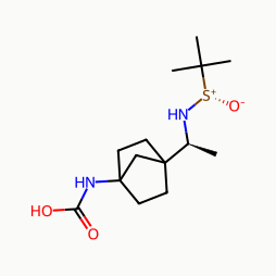 C[C@H](N[S@@+]([O-])C(C)(C)C)C12CCC(NC(=O)O)(CC1)C2